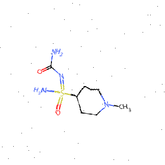 CN1CCC(S(N)(=O)=NC(N)=O)CC1